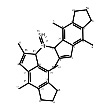 CC1=Cc2c(C)c3c(c(C)c2[CH]1[Hf](=[SiH2])[CH]1C(C)=Cc2c(C)c4c(c(C)c21)CCC4)CCC3